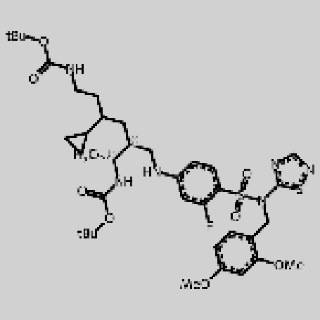 COc1ccc(CN(c2ncns2)S(=O)(=O)c2ccc(NC[C@H](CC(CCNC(=O)OC(C)(C)C)C3CC3)[C@@H](C)NC(=O)OC(C)(C)C)cc2F)c(OC)c1